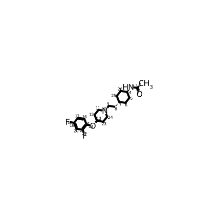 CC(=O)N[C@H]1CC[C@H](CCN2CCC(Oc3ccc(F)cc3F)CC2)CC1